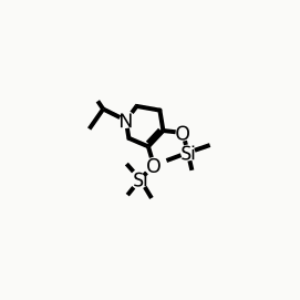 CC(C)N1CCC(O[Si](C)(C)C)=C(O[Si](C)(C)C)C1